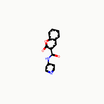 O=C(Nc1ccncc1)c1cc2ccccc2oc1=O